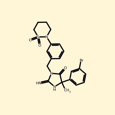 CC1(c2cccc(Br)c2)NC(=N)N(Cc2cccc(N3CCCCS3(=O)=O)c2)C1=O